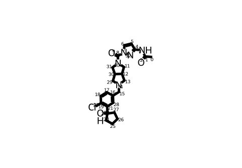 CC(=O)Nc1ccn(C(=O)N2CC3CN(Cc4ccc(Cl)c(C5(O)CCCC5)c4)CC3C2)n1